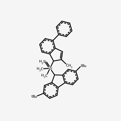 CC1=Cc2c(-c3ccccc3)cccc2[CH]1[Zr]([CH3])([CH3])(=[SiH2])[CH]1c2cc(C(C)(C)C)ccc2-c2ccc(C(C)(C)C)cc21